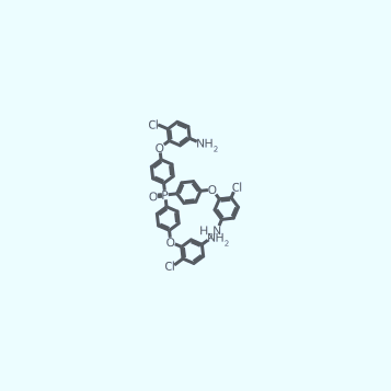 Nc1ccc(Cl)c(Oc2ccc(P(=O)(c3ccc(Oc4cc(N)ccc4Cl)cc3)c3ccc(Oc4cc(N)ccc4Cl)cc3)cc2)c1